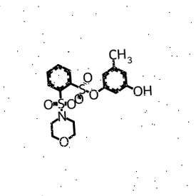 Cc1cc(O)cc(OS(=O)(=O)c2ccccc2S(=O)(=O)N2CCOCC2)c1